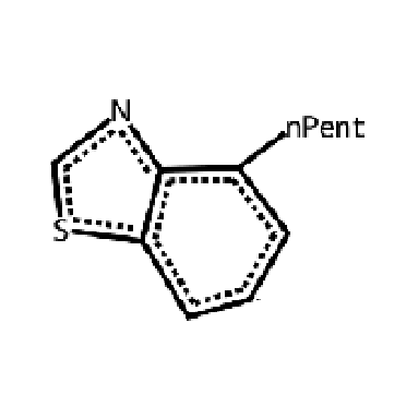 CCCCCc1c[c]cc2scnc12